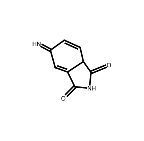 N=C1C=CC2C(=O)NC(=O)C2=C1